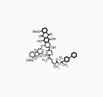 COc1cccc2c1C(=O)c1c(O)c3c(c(O)c1C2=O)C[C@@](O)(C(=O)COC(=O)N(C)CCN(C)C(=O)OC(C)(C)c1ccc(-c2ccccc2)cc1)C[C@@H]3O[C@H]1C[C@H]2[C@H](O[C@@H]3[C@@H](OC)OCCN32)[C@H](C)O1